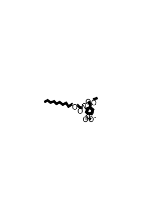 CCCCCCCCCCOCC(=O)N(C)c1cc([N+](=O)[O-])ccc1C(=O)OCC